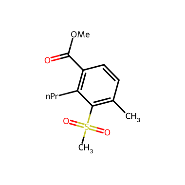 CCCc1c(C(=O)OC)ccc(C)c1S(C)(=O)=O